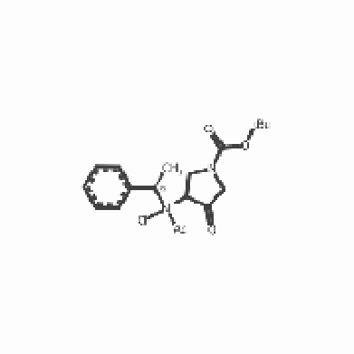 CC(=O)[N+](Cl)(C1CN(C(=O)OC(C)(C)C)CC1=O)[C@H](C)c1ccccc1